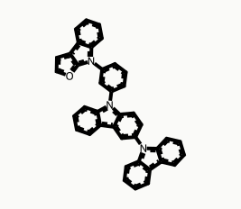 c1cc(-n2c3ccccc3c3cc(-n4c5ccccc5c5ccccc54)ccc32)cc(-n2c3ccccc3c3ccoc32)c1